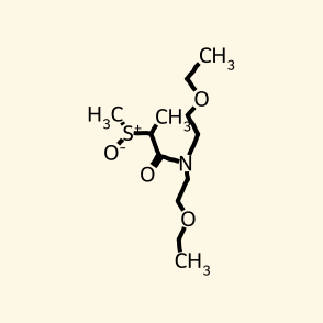 CCOCCN(CCOCC)C(=O)C(C)[S+](C)[O-]